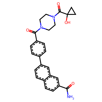 NC(=O)c1ccc2ccc(-c3ccc(C(=O)N4CCN(C(=O)C5(O)CC5)CC4)cc3)cc2c1